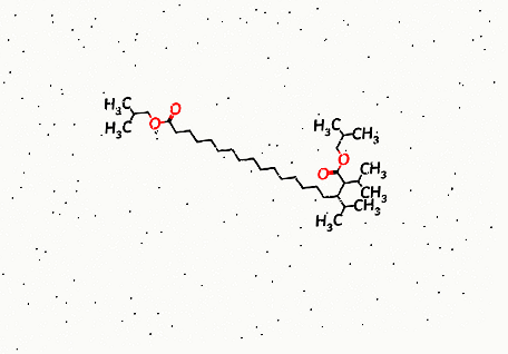 CC(C)COC(=O)CCCCCCCCCCCCCCCC(C(C)C)C(C(=O)OCC(C)C)C(C)C